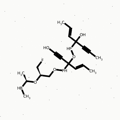 CB[C@@H](C)O[C@@H](CF)COPC(C#CO)(C=CC)OPC(O)(C#CC)C=CC